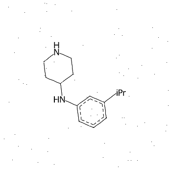 CC(C)c1cccc(NC2CCNCC2)c1